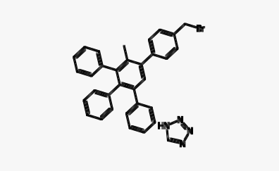 Cc1c(-c2ccc(CBr)cc2)cc(-c2ccccc2)c(-c2ccccc2)c1-c1ccccc1.c1nnn[nH]1